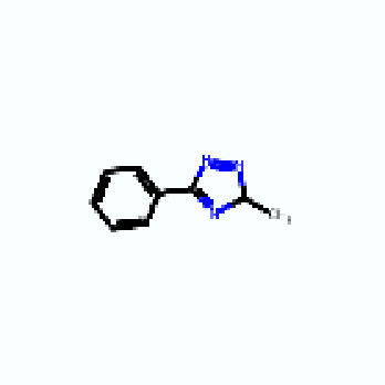 CC1N=NC(c2ccccc2)=N1